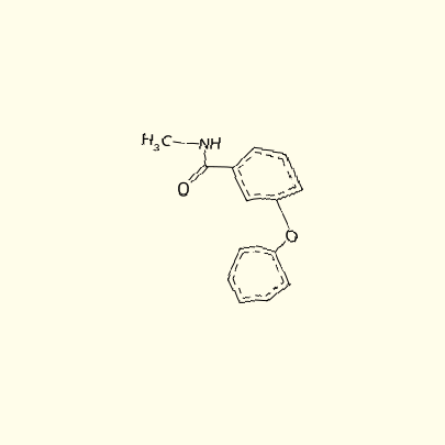 CNC(=O)c1cccc(Oc2ccccc2)c1